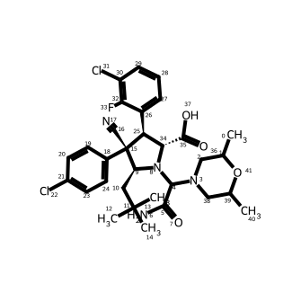 CC1CN(C(C(N)=O)N2[C@@H](CC(C)(C)C)[C@](C#N)(c3ccc(Cl)cc3)[C@@H](c3cccc(Cl)c3F)[C@@H]2C(=O)O)CC(C)O1